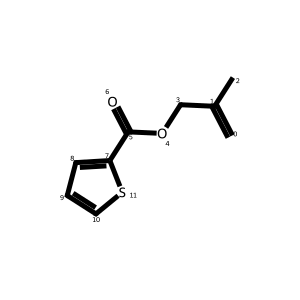 C=C(C)COC(=O)c1cccs1